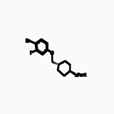 CCCCC[C@H]1CC[C@H](COc2ccc(Br)c(F)c2)CC1